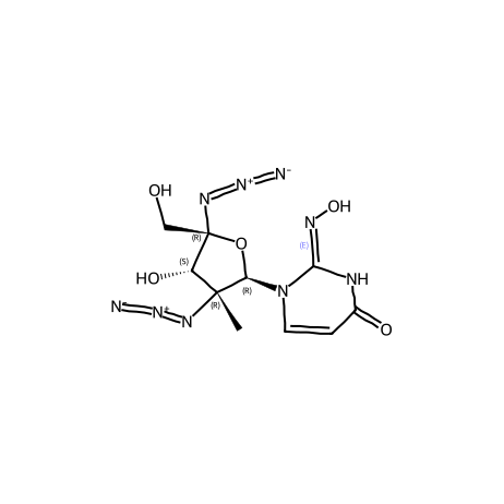 C[C@]1(N=[N+]=[N-])[C@H](n2ccc(=O)[nH]/c2=N\O)O[C@@](CO)(N=[N+]=[N-])[C@H]1O